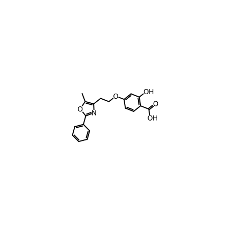 Cc1oc(-c2ccccc2)nc1CCOc1ccc(C(=O)O)c(O)c1